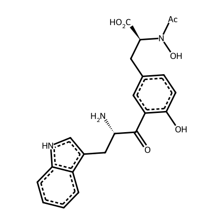 CC(=O)N(O)[C@@H](Cc1ccc(O)c(C(=O)[C@@H](N)Cc2c[nH]c3ccccc23)c1)C(=O)O